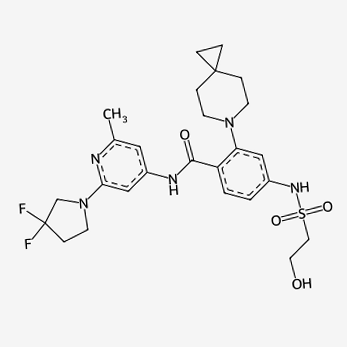 Cc1cc(NC(=O)c2ccc(NS(=O)(=O)CCO)cc2N2CCC3(CC2)CC3)cc(N2CCC(F)(F)C2)n1